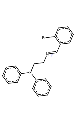 Brc1ccccc1/C=N/CCP(c1ccccc1)c1ccccc1